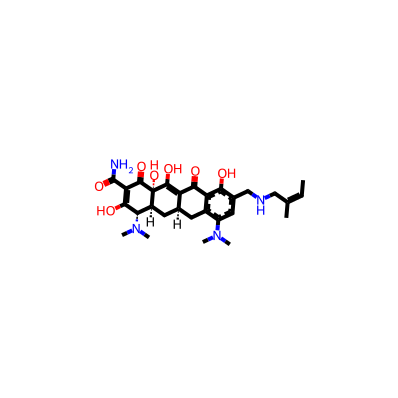 C/C=C(/C)CNCc1cc(N(C)C)c2c(c1O)C(=O)C1=C(O)[C@]3(O)C(=O)C(C(N)=O)=C(O)[C@@H](N(C)C)[C@@H]3C[C@@H]1C2